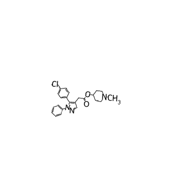 CN1CCC(OC(=O)Cc2cnn(-c3ccccc3)c2-c2ccc(Cl)cc2)CC1